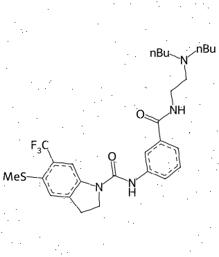 CCCCN(CCCC)CCNC(=O)c1cccc(NC(=O)N2CCc3cc(SC)c(C(F)(F)F)cc32)c1